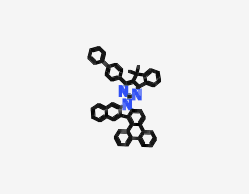 CC1(C)c2ccccc2-c2nc(-n3c4cc5ccccc5cc4c4c5c6ccccc6c6ccccc6c5ccc43)nc(-c3ccc(-c4ccccc4)cc3)c21